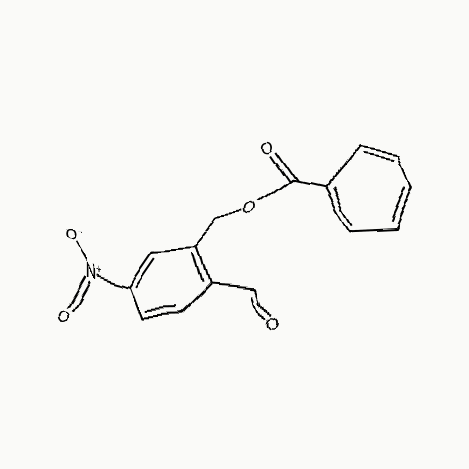 O=Cc1ccc([N+](=O)[O-])cc1COC(=O)c1ccccc1